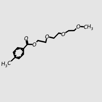 COCCOCCOCCOC(=O)c1ccc(C)cc1